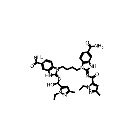 CCn1nc(C)cc1C(=O)/N=c1\[nH]c2cc(C(N)=O)ccc2n1CCCCn1/c(=N/C(O)c2cc(C)nn2CC)[nH]c2cc(C(N)=O)ccc21